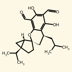 CC(C)C[C@H]1C[C@@]2(CC[C@]3(C(C)C)C[C@H]23)Oc2c(C=O)c(O)c(C=O)c(O)c21